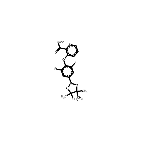 COC(=O)c1ncccc1Oc1c(F)cc(B2OC(C)(C)C(C)(C)O2)cc1F